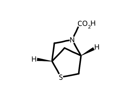 O=C(O)N1C[C@@H]2C[C@H]1CS2